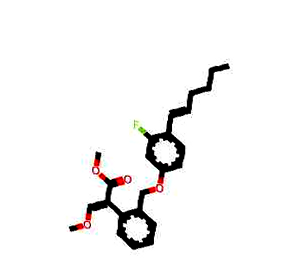 CCCC/C=C/c1ccc(OCc2ccccc2/C(=C\OC)C(=O)OC)cc1F